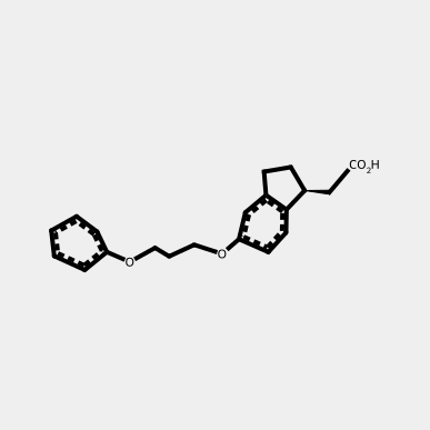 O=C(O)C[C@@H]1CCc2cc(OCCCOc3ccccc3)ccc21